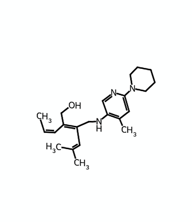 C/C=C\C(CO)=C(/C=C(C)C)CNc1cnc(N2CCCCC2)cc1C